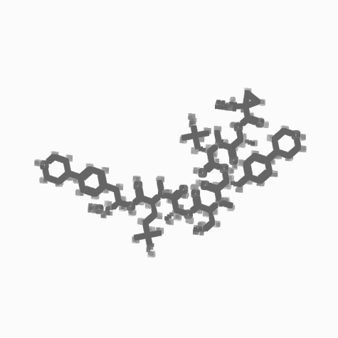 CNC1(C(=O)O[C@H](C)C(=O)N(C)[C@@H](CC(C)(C)F)C(=O)O[C@H](Cc2ccc(C3CCOCC3)cc2)C(=O)N(C)[C@@H](CC(C)C)C(=O)O[C@H](C)C(=O)N(C)[C@@H](CCC(C)(C)F)C(=O)O[C@H](Cc2ccc(C3CCOCC3)cc2)C(=O)O)CC1